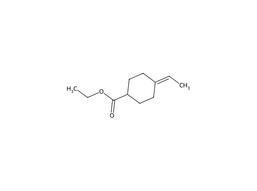 CC=C1CCC(C(=O)OCC)CC1